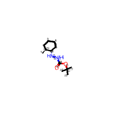 C[C@H]1CCCC[C@@H]1NNC(=O)OC(C)(C)C